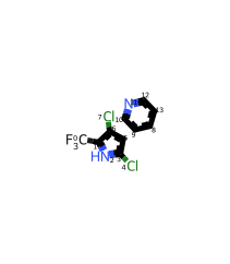 FC(F)(F)c1[nH]c(Cl)cc1Cl.c1ccncc1